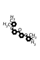 Cc1cccc(Oc2cccc(C(=O)c3cccc(Oc4cccc(C)c4C)c3)c2)c1C